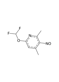 Cc1cc(OC(F)F)nc(C)c1N=O